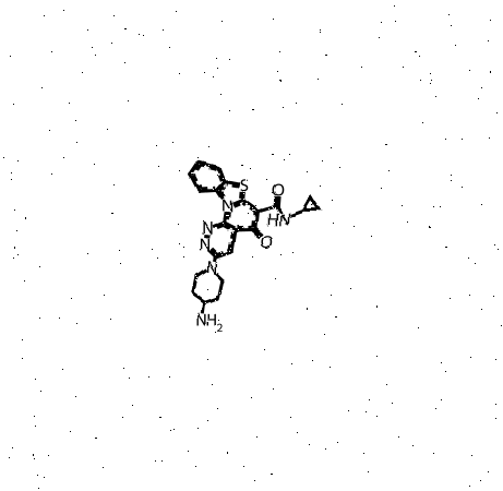 NC1CCN(c2cc3c(=O)c(C(=O)NC4CC4)c4sc5ccccc5n4c3nn2)CC1